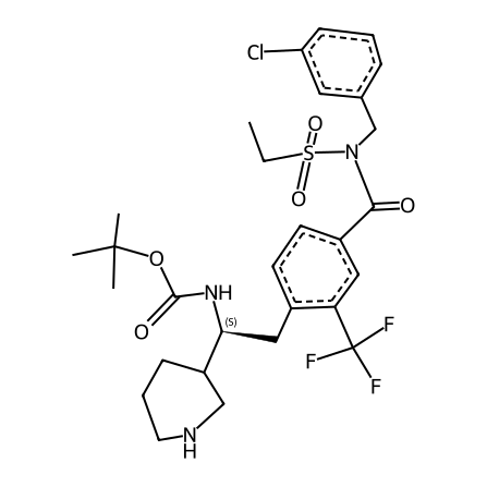 CCS(=O)(=O)N(Cc1cccc(Cl)c1)C(=O)c1ccc(C[C@H](NC(=O)OC(C)(C)C)C2CCCNC2)c(C(F)(F)F)c1